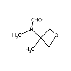 CN([C]=O)C1(C)COC1